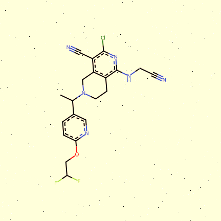 CC(c1ccc(OCC(F)F)nc1)N1CCc2c(NCC#N)nc(Cl)c(C#N)c2C1